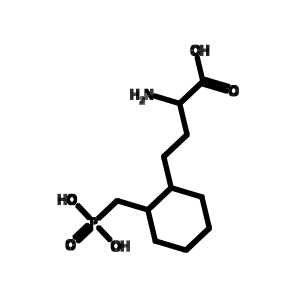 NC(CCC1CCCCC1CP(=O)(O)O)C(=O)O